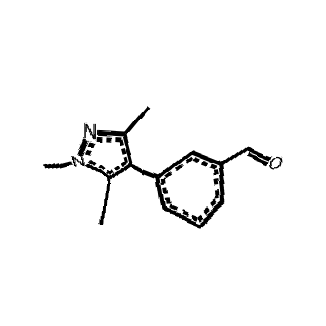 Cc1nn(C)c(C)c1-c1cccc(C=O)c1